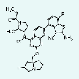 C=CC(=O)N1CCC(N(CC)c2nc(OCC34CCCN3CC(F)C4)nc3cc(-c4ccc(F)c5sc(N)c(C#N)c45)ccc23)C1C